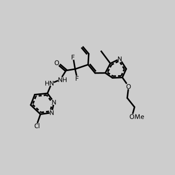 C=C/C(=C\c1cc(OCCOC)cnc1C)C(F)(F)C(=O)NNc1ccc(Cl)nn1